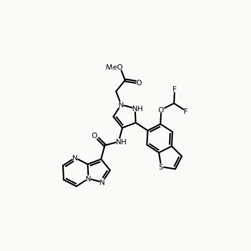 COC(=O)CN1C=C(NC(=O)c2cnn3cccnc23)C(c2cc3sccc3cc2OC(F)F)N1